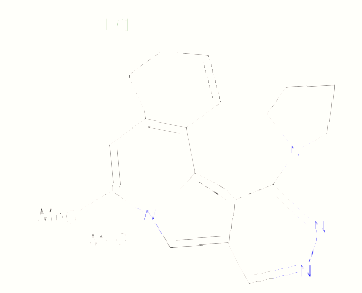 COC1=CC2=C(C=CCC2)C2=c3c(N4CCCC4)nncc3=C[N+]12OC.Cl